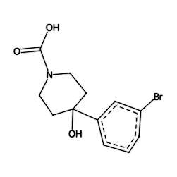 O=C(O)N1CCC(O)(c2cccc(Br)c2)CC1